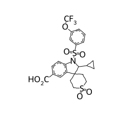 O=C(O)c1ccc2c(c1)C1(CCS(=O)(=O)CC1)C(C1CC1)N2S(=O)(=O)c1cccc(OC(F)(F)F)c1